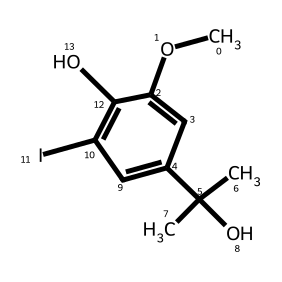 COc1cc(C(C)(C)O)cc(I)c1O